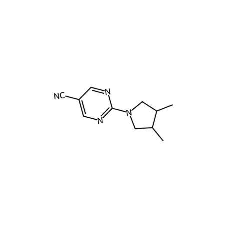 CC1CN(c2ncc(C#N)cn2)CC1C